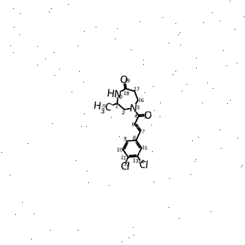 CC1CN(C(=O)/C=C/c2ccc(Cl)c(Cl)c2)CCC(=O)N1